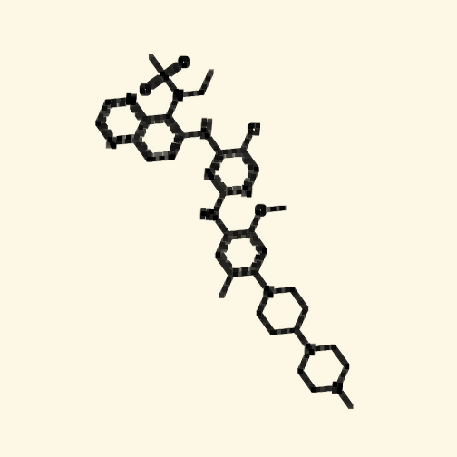 CCN(c1c(Nc2nc(Nc3cc(C)c(N4CCC(N5CCN(C)CC5)CC4)cc3OC)ncc2Cl)ccc2nccnc12)S(C)(=O)=O